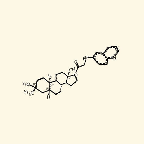 C[C@@]1(O)CC[C@@H]2C3CC[C@@]4(C)C(CC[C@@H]4C(=O)CNc4ccc5ncccc5c4)C3CC[C@@H]2C1